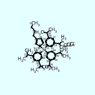 CCCCC1=C[C]([Ti+3])([Si](c2cc(C(C)C)cc(C(C)C)c2)(c2cc(C(C)C)cc(C(C)C)c2)c2cc(C(C)C)cc(C(C)C)c2)C=C1.[Cl-].[Cl-].[Cl-]